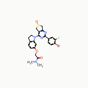 CN(C)C(=O)COc1ccc2c(c1)N(c1nc(-c3ccc(Br)c(F)c3)nc3c1C[S+]([O-])C3)CC2